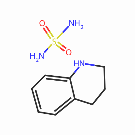 NS(N)(=O)=O.c1ccc2c(c1)CCCN2